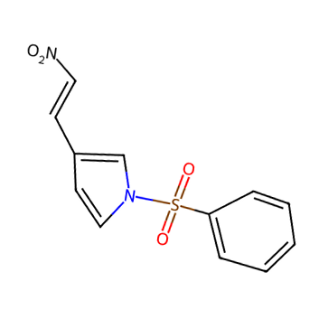 O=[N+]([O-])C=Cc1ccn(S(=O)(=O)c2ccccc2)c1